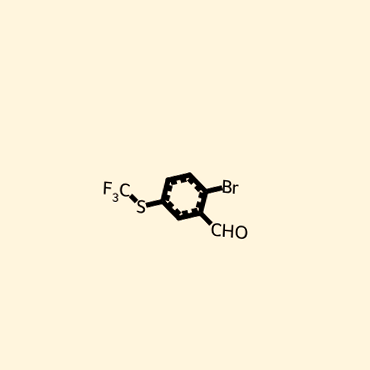 O=Cc1cc(SC(F)(F)F)ccc1Br